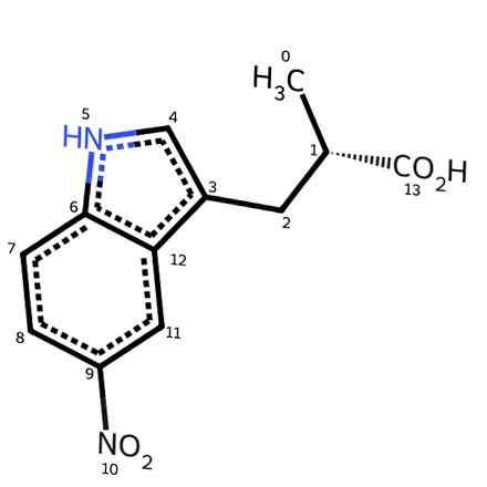 C[C@@H](Cc1c[nH]c2ccc([N+](=O)[O-])cc12)C(=O)O